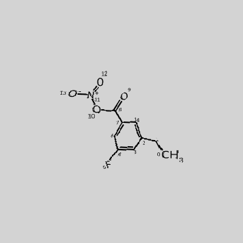 CCc1cc(F)cc(C(=O)O[N+](=O)[O-])c1